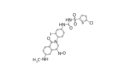 CNc1ccc2c(=O)n(-c3ccc(NC(=O)NS(=O)(=O)c4ccc(Cl)s4)cc3I)cc(N=O)c2c1